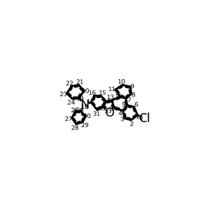 Clc1ccc2c(c1)c1ccccc1c1c3ccc(N(c4ccccc4)c4ccccc4)cc3oc21